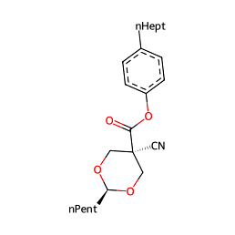 CCCCCCCc1ccc(OC(=O)[C@]2(C#N)CO[C@H](CCCCC)OC2)cc1